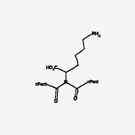 CCCCCC(=O)N(C(=O)CCCCC)C(CCCCN)C(=O)O